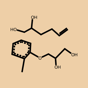 C=CCCC(O)CO.Cc1ccccc1OCC(O)CO